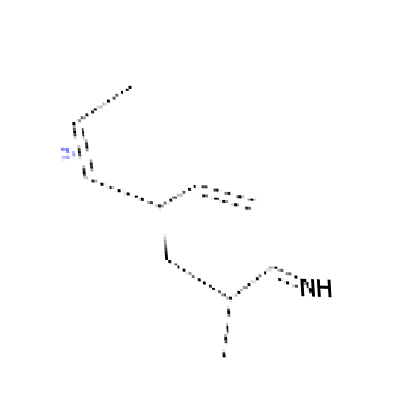 C=CC(/C=C\C)CC(C)C=N